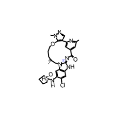 Cc1cc2cc(n1)-c1cnn(C)c1OCCC[C@@H](C)CN1/C(=N/C2=O)Nc2cc(Cl)c(N[SH]3(=O)CCCC3)cc21